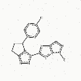 Cc1ncc2sc(-c3nnc4n3C(c3ccc(Cl)cc3)CC4)nn12